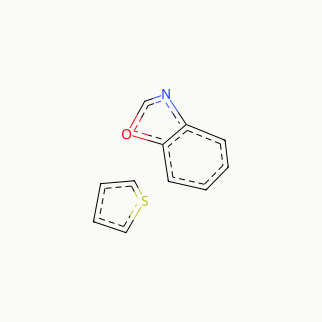 c1ccc2ocnc2c1.c1ccsc1